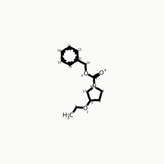 CCOC1CCN(C(=O)OCc2ccccc2)C1